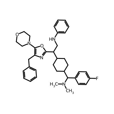 CN(C)C(c1ccc(F)cc1)C1CCC(C(CNc2ccccc2)c2nc(Cc3ccccc3)c(N3CCOCC3)o2)CC1